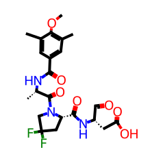 COc1c(C)cc(C(=O)N[C@@H](C)C(=O)N2CC(F)(F)C[C@H]2C(=O)N[C@H](C=O)CC(=O)O)cc1C